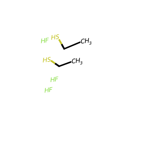 CCS.CCS.F.F.F